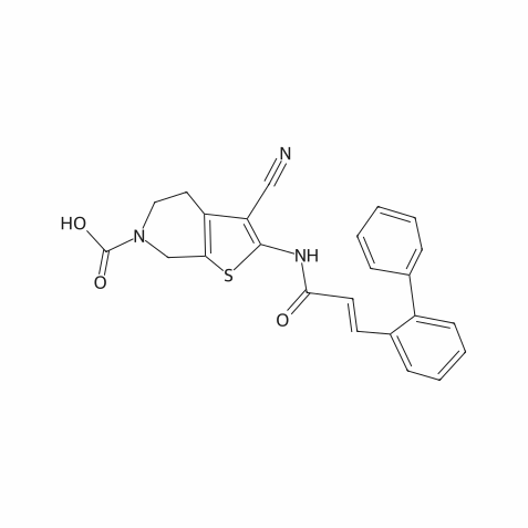 N#Cc1c(NC(=O)C=Cc2ccccc2-c2ccccc2)sc2c1CCN(C(=O)O)C2